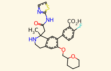 CC1(CC(=O)Nc2nccs2)NCCc2cc(OCC3CCCCO3)c(-c3ccc(F)c(C(=O)O)c3)cc21